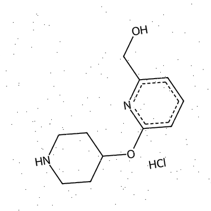 Cl.OCc1cccc(OC2CCNCC2)n1